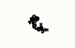 O=C(O)c1c[nH]c2cc(CN3CCC(OCc4c(-c5c(Cl)cccc5Cl)noc4C4CC4)CC3)ccc12